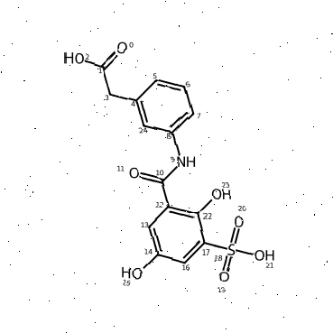 O=C(O)Cc1cccc(NC(=O)c2cc(O)cc(S(=O)(=O)O)c2O)c1